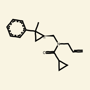 C=CCN(C[C@H]1CC1(C)c1ccccc1)C(=O)C1CC1